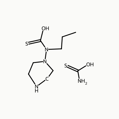 CCCN(C(O)=S)N1CCNCC1.NC(O)=S